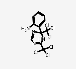 Nc1ccccc1C1(C(Cl)(Cl)Cl)N=CN=C(C(Cl)(Cl)Cl)N1